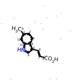 Cc1ccc2c(/C=C/C(=O)O)c[nH]c2c1